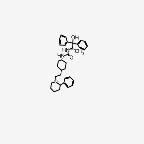 C[C@H](NC(=O)N[C@H]1CC[C@H](CCN2CCCCC2c2ccccc2)CC1)C(O)(c1ccccc1)c1ccccc1